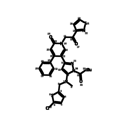 CN(Cc1ccc(Cl)s1)c1cc(-c2cn(CC(=O)c3ccsn3)c(=O)cc2-c2ccccc2)nn1C(=O)C(C)(C)C